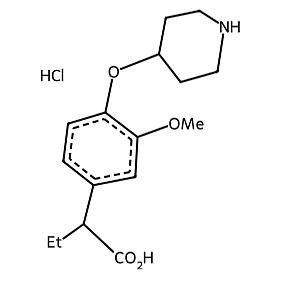 CCC(C(=O)O)c1ccc(OC2CCNCC2)c(OC)c1.Cl